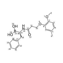 COc1ccc(C)cc1OCCC(=O)N[C@@H](Cc1ccccc1)B(O)O